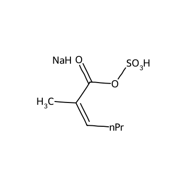 CCCC=C(C)C(=O)OS(=O)(=O)O.[NaH]